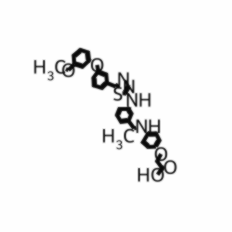 COc1cccc(Oc2cccc(-c3nnc(Nc4cccc(C(C)Nc5ccc(OCC(=O)O)cc5)c4)s3)c2)c1